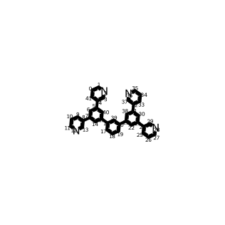 c1cncc(-c2cc(-c3cccnc3)cc(-c3cccc(-c4cc(-c5cccnc5)cc(-c5cccnc5)c4)c3)c2)c1